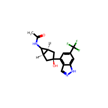 CC(=O)NC1[C@H]2C[C@](O)(c3cc(C(F)(F)F)cc4[nH]ncc34)C[C@@H]12